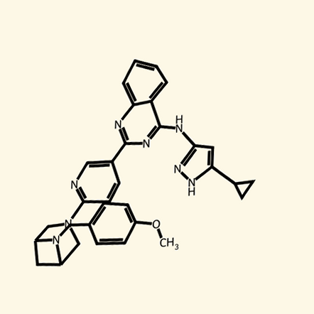 COc1ccc(CN2C3CC2CN(c2ccc(-c4nc(Nc5cc(C6CC6)[nH]n5)c5ccccc5n4)cn2)C3)cc1